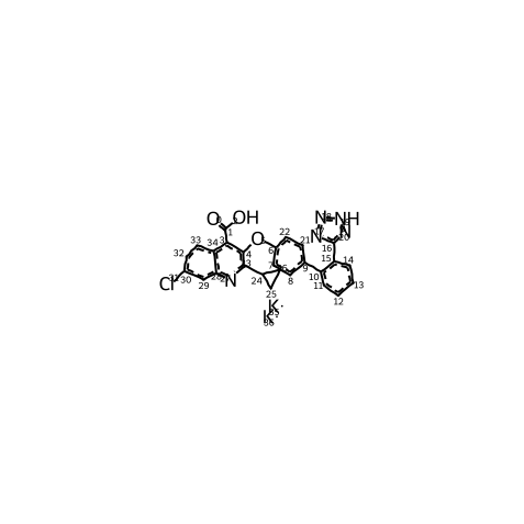 O=C(O)c1c(Oc2ccc(-c3ccccc3-c3nn[nH]n3)cc2)c(C2CC2)nc2cc(Cl)ccc12.[K].[K]